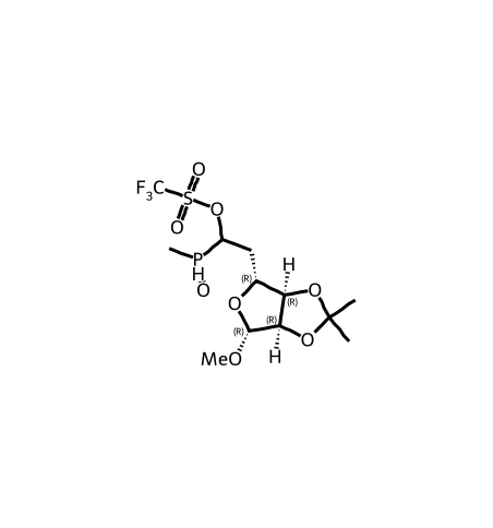 CO[C@@H]1O[C@H](CC(OS(=O)(=O)C(F)(F)F)[PH](C)=O)[C@H]2OC(C)(C)O[C@@H]12